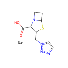 O=C(O)C1C(Cn2ccnn2)SC2CCN21.[Na]